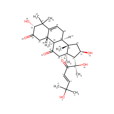 CC(C)(O)/C=C/C(=O)[C@](C)(O)[C@H]1[C@H](O)C[C@@]2(C)[C@@H]3CC=C4[C@@H](CC(=O)[C@H](O)C4(C)C)[C@]3(C)C(=O)C[C@]12C